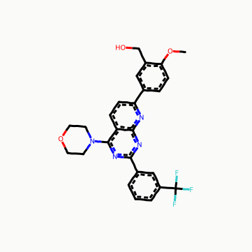 COc1ccc(-c2ccc3c(N4CCOCC4)nc(-c4cccc(C(F)(F)F)c4)nc3n2)cc1CO